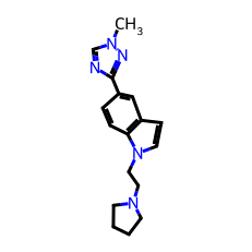 Cn1cnc(-c2ccc3c(ccn3CCN3CCCC3)c2)n1